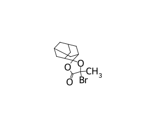 CC1(Br)OC2(OC1=O)C1CC3CC(C1)CC2C3